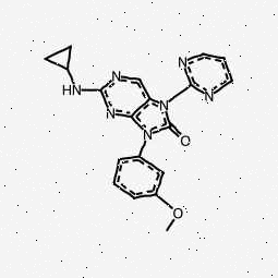 COc1cccc(-n2c(=O)n(-c3ncccn3)c3cnc(NC4CC4)nc32)c1